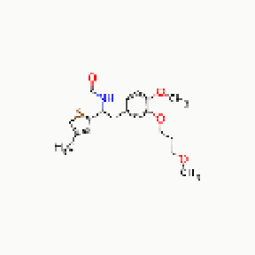 COCCCOc1cc(CC(NC=O)c2cc(C)cs2)ccc1OC